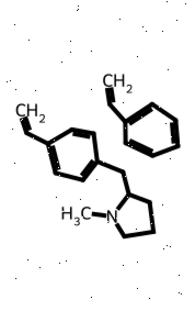 C=Cc1ccc(CC2CCCN2C)cc1.C=Cc1ccccc1